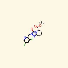 CC(C)(C)OC(=O)[C@@H]1CCCc2nn(Cc3ncc(F)cc3F)c(=O)n21